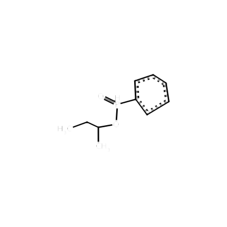 CCC(C)O[PH](=O)c1ccccc1